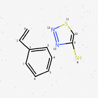 C=Cc1ccccc1.Sc1csnn1